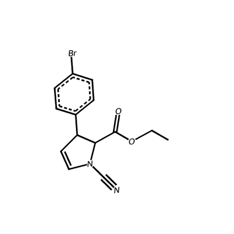 CCOC(=O)C1C(c2ccc(Br)cc2)C=CN1C#N